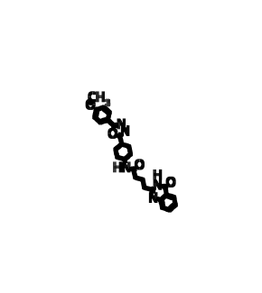 COc1ccc(-c2nnc(C3CCC(NC(=O)CCCc4nc5ccccc5c(=O)[nH]4)CC3)o2)cc1